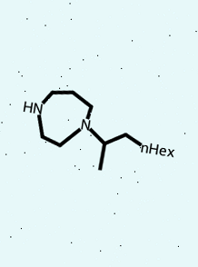 CCCCCCCC(C)N1CCCNCC1